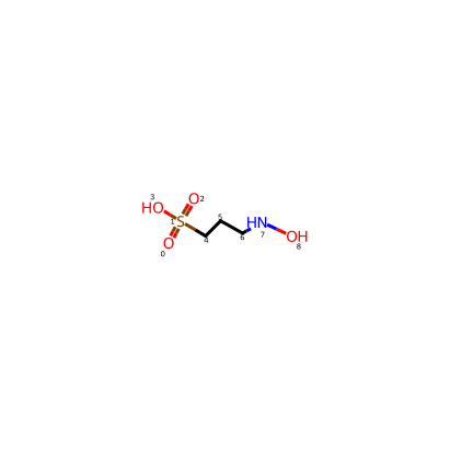 O=S(=O)(O)CCCNO